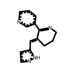 C(=C1CCCN=C1c1cccnc1)c1ccn[nH]1